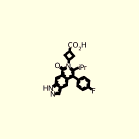 CC(C)c1c(-c2ccc(F)cc2)c2cc3cn[nH]c3cc2c(=O)n1C1CC(C(=O)O)C1